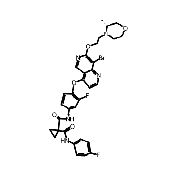 C[C@@H]1COCCN1CCOc1ncc2c(Oc3ccc(NC(=O)C4(C(=O)Nc5ccc(F)cc5)CC4)cc3F)ccnc2c1Br